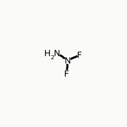 NN(F)F